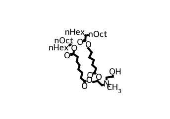 CCCCCCCCC(CCCCCC)OC(=O)CCCCCCC(=O)OCC(CN(C)CCO)OC(=O)CCCCCCOC(=O)C(CCCCCC)CCCCCCCC